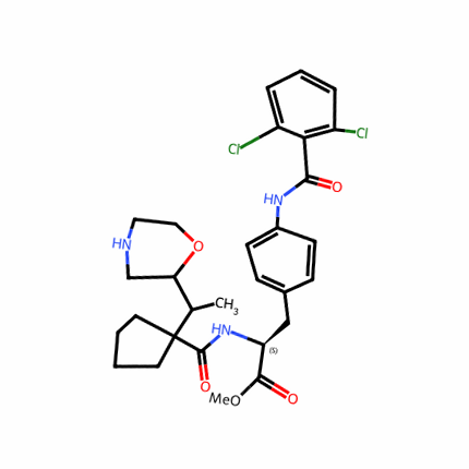 COC(=O)[C@H](Cc1ccc(NC(=O)c2c(Cl)cccc2Cl)cc1)NC(=O)C1(C(C)C2CNCCO2)CCCC1